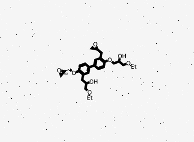 CCOCC(O)COc1ccc(-c2ccc(OC[C@@H]3CO3)c(CC(O)COCC)c2)cc1CC1CO1